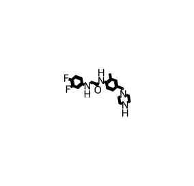 Cc1cc(CN2CCNCC2)ccc1NC(=O)CNc1ccc(F)c(F)c1